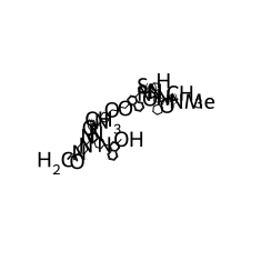 C=CC(=O)N1CCN(c2nc(O[C@H](C)CN3CCC(OCCOc4ccc(-c5csc([C@@H]6CCCN6C(=O)[C@@H](NC(=O)[C@H](C)NC)C6CCCCC6)n5)c5ccccc45)CC3)nc3c2CCN(c2cc(O)cc4ccccc24)C3)CC1